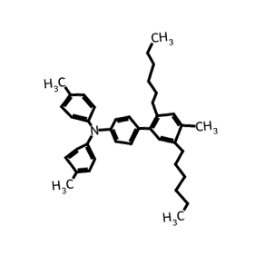 CCCCCCc1cc(-c2ccc(N(c3ccc(C)cc3)c3ccc(C)cc3)cc2)c(CCCCCC)cc1C